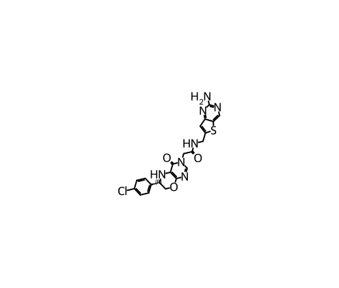 Nc1ncc2sc(CNC(=O)Cn3cnc4c(c3=O)N[C@H](c3ccc(Cl)cc3)CO4)cc2n1